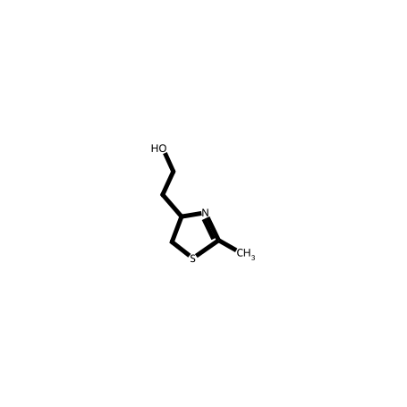 CC1=NC(CCO)CS1